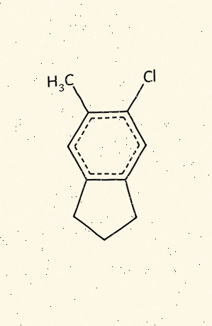 Cc1cc2c(cc1Cl)CCC2